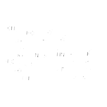 CCCC[C@@]1(C)C(=O)c2c(O)c(=O)c(C(=O)NCc3c(F)cccc3F)cn2C[C@@H]1OC